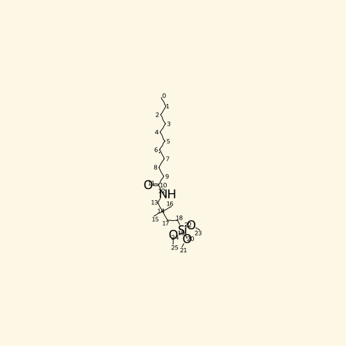 CCCCCC[CH]CCCC(=O)NCC(C)(C)CC[Si](OC)(OC)OC